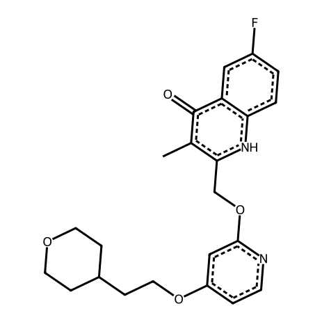 Cc1c(COc2cc(OCCC3CCOCC3)ccn2)[nH]c2ccc(F)cc2c1=O